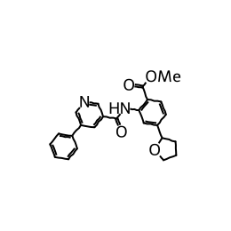 COC(=O)c1ccc(C2CCCO2)cc1NC(=O)c1cncc(-c2ccccc2)c1